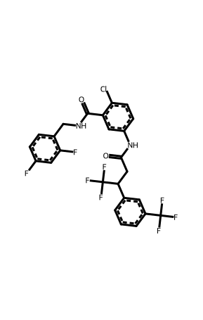 O=C(CC(c1cccc(C(F)(F)F)c1)C(F)(F)F)Nc1ccc(Cl)c(C(=O)NCc2ccc(F)cc2F)c1